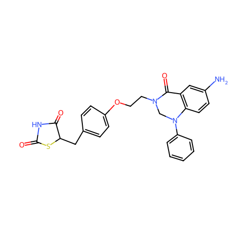 Nc1ccc2c(c1)C(=O)N(CCOc1ccc(CC3SC(=O)NC3=O)cc1)CN2c1ccccc1